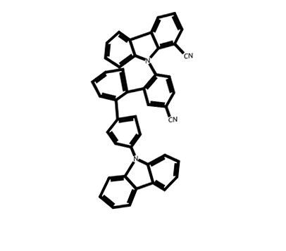 N#Cc1ccc(-n2c3ccccc3c3cccc(C#N)c32)c(-c2ccccc2-c2ccc(-n3c4ccccc4c4ccccc43)cc2)c1